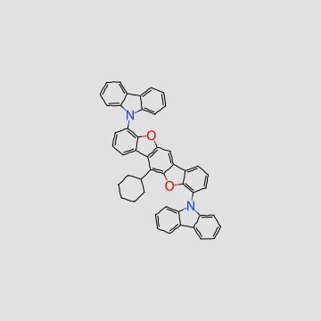 c1cc(-n2c3ccccc3c3ccccc32)c2oc3c(C4CCCCC4)c4c(cc3c2c1)oc1c(-n2c3ccccc3c3ccccc32)cccc14